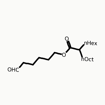 CCCCCCCCC(CCCCCC)C(=O)OCCCCCC=O